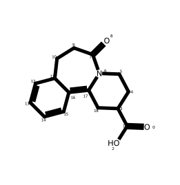 O=C(O)C1CCN2C(=O)CCC3C=CC=CC3=C2C1